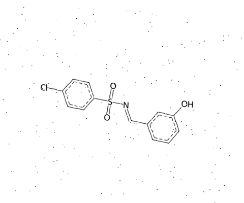 O=S(=O)(N=Cc1cccc(O)c1)c1ccc(Cl)cc1